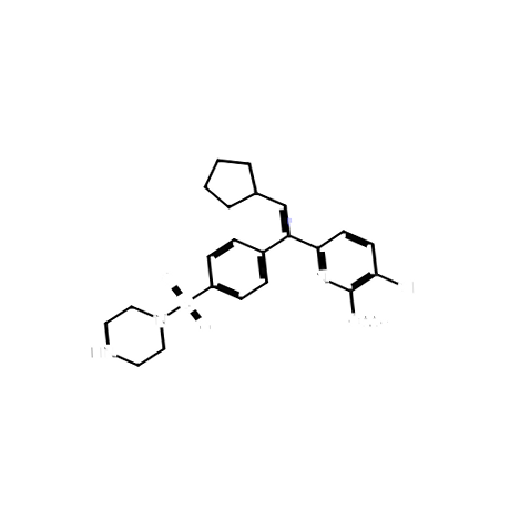 COc1nc(/C(=C/C2CCCC2)c2ccc(S(=O)(=O)N3CCNCC3)cc2)ccc1Cl